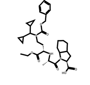 CCOC(=O)[C@H](CCN(C(=O)OCc1ccccc1)C(C1CC1)C1CC1)N[C@@H](C)C(=O)N1C2CCCCC2C[C@H]1C(=O)O